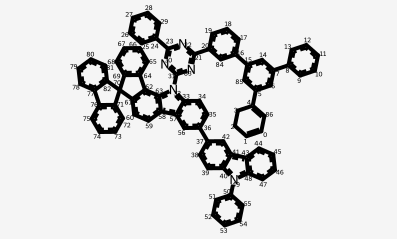 C1=CCCC(c2cc(-c3ccccc3)cc(-c3cccc(-c4nc(-c5ccccc5)nc(-n5c6ccc(-c7ccc8c(c7)c7ccccc7n8-c7ccccc7)cc6c6ccc7c(c65)-c5ccccc5C75c6ccccc6-c6ccccc65)n4)c3)c2)=C1